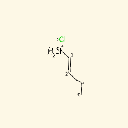 CC/C=C/[SiH2]Cl